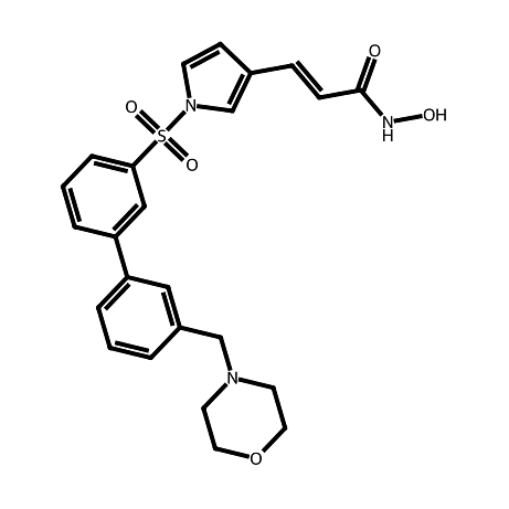 O=C(C=Cc1ccn(S(=O)(=O)c2cccc(-c3cccc(CN4CCOCC4)c3)c2)c1)NO